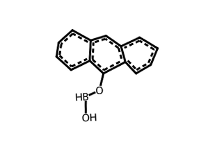 OBOc1c2ccccc2cc2ccccc12